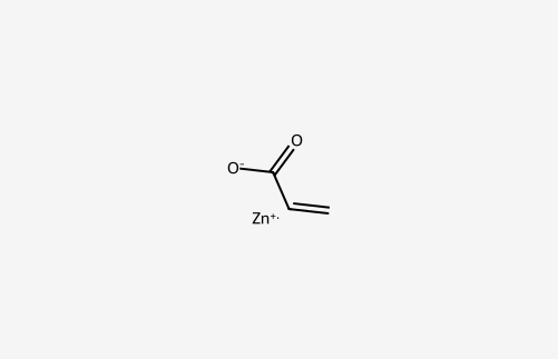 C=CC(=O)[O-].[Zn+]